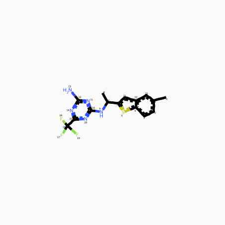 Cc1ccc2sc(C(C)Nc3nc(N)nc(C(F)(F)F)n3)cc2c1